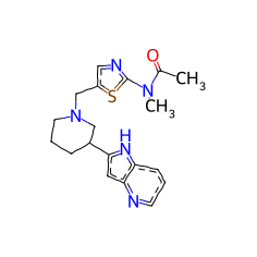 CC(=O)N(C)c1ncc(CN2CCCC(c3cc4ncccc4[nH]3)C2)s1